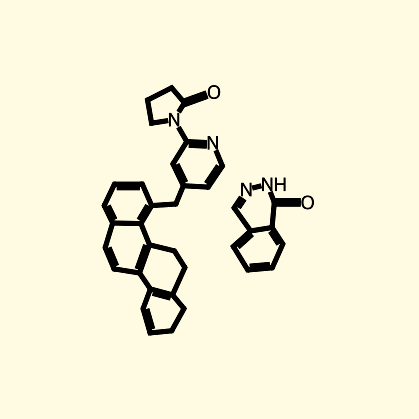 O=C1CCCN1c1cc(Cc2cccc3ccc4c(c23)CCC2=C4C=CCC2)ccn1.O=c1[nH]ncc2ccccc12